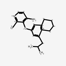 CC(C)Cc1cc(Oc2c(N)ccnc2Cl)cc2c1CCCC2